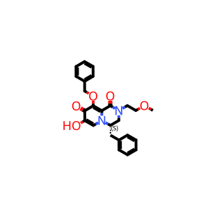 COCCN1C[C@H](Cc2ccccc2)n2cc(O)c(=O)c(OCc3ccccc3)c2C1=O